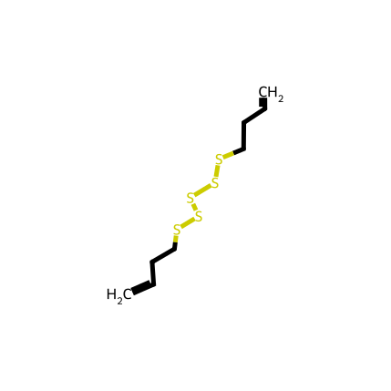 C=CCCSSSSSCCC=C